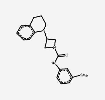 CSc1cccc(NC(=O)N2CC(N3CCCc4ccccc43)C2)c1